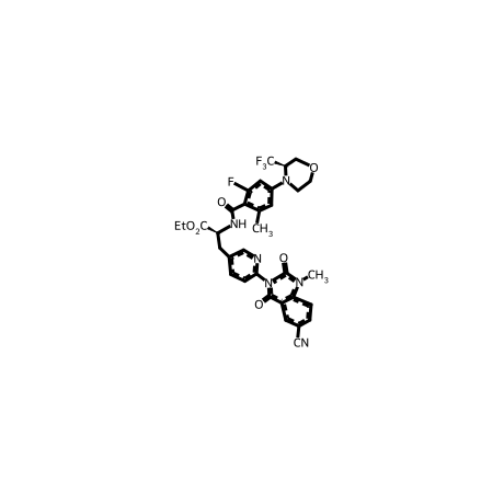 CCOC(=O)[C@H](Cc1ccc(-n2c(=O)c3cc(C#N)ccc3n(C)c2=O)nc1)NC(=O)c1c(C)cc(N2CCOC[C@@H]2C(F)(F)F)cc1F